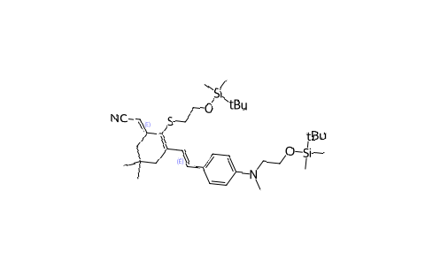 CN(CCO[Si](C)(C)C(C)(C)C)c1ccc(/C=C/C2=C(SCCO[Si](C)(C)C(C)(C)C)C(=C/C#N)/CC(C)(C)C2)cc1